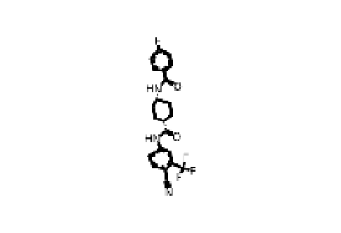 N#Cc1ccc(NC(=O)[C@H]2CC[C@@H](NC(=O)c3ccc(F)cc3)CC2)cc1C(F)(F)F